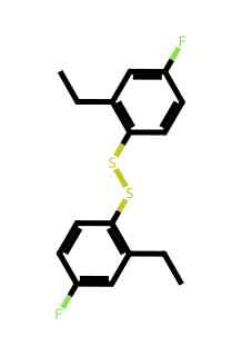 CCc1cc(F)ccc1SSc1ccc(F)cc1CC